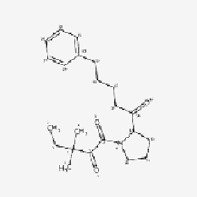 CCC(C)(C)C(=O)C(=O)N1CCCC1C(=O)CCCCc1ccccc1